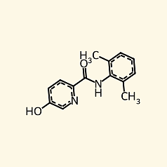 Cc1cccc(C)c1NC(=O)c1ccc(O)cn1